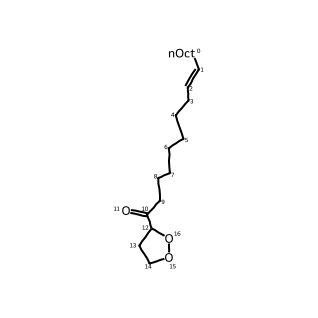 CCCCCCCCC=CCCCCCCCC(=O)C1CCOO1